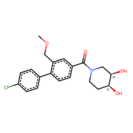 COCc1cc(C(=O)N2CC[C@H](O)[C@H](O)C2)ccc1-c1ccc(Cl)cc1